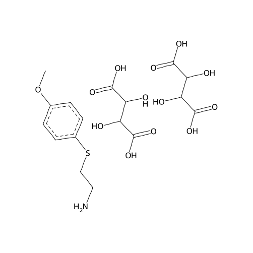 COc1ccc(SCCN)cc1.O=C(O)C(O)C(O)C(=O)O.O=C(O)C(O)C(O)C(=O)O